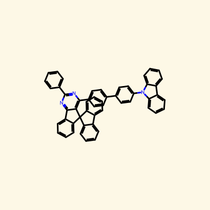 c1ccc(-c2nc(-c3ccc(-c4ccc(-n5c6ccccc6c6ccccc65)cc4)cc3)c3c(n2)-c2ccccc2C32c3ccccc3-c3ccccc32)cc1